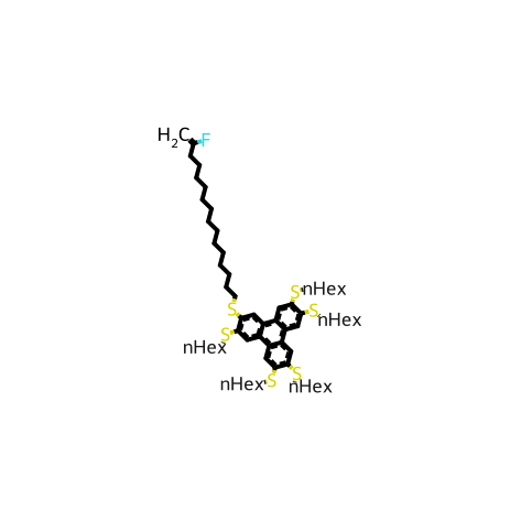 C=C(F)CCCCCCCCCCCCCCSc1cc2c3cc(SCCCCCC)c(SCCCCCC)cc3c3cc(SCCCCCC)c(SCCCCCC)cc3c2cc1SCCCCCC